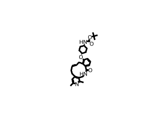 Cc1cc2c(c(C)n1)CNC(=O)c1cccc(O[C@H]3CC[C@H](NC(=O)OC(C)(C)C)CC3)c1C/C=C/CC2